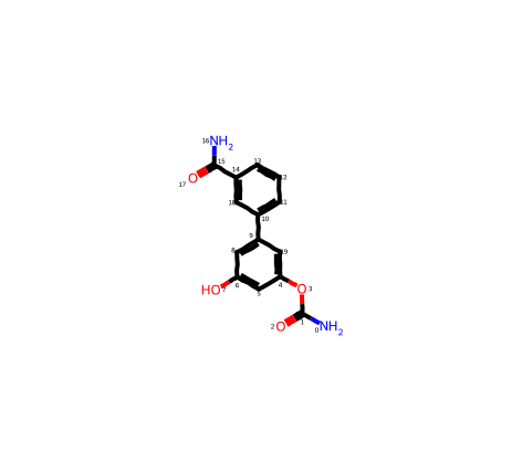 NC(=O)Oc1cc(O)cc(-c2cccc(C(N)=O)c2)c1